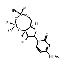 CC(=O)Nc1ccn([C@@H]2O[C@@H]3CO[Si](C(C)C)(C(C)C)O[Si](C(C)C)(C(C)C)O[C@H]3[C@@H]2C#N)c(=O)n1